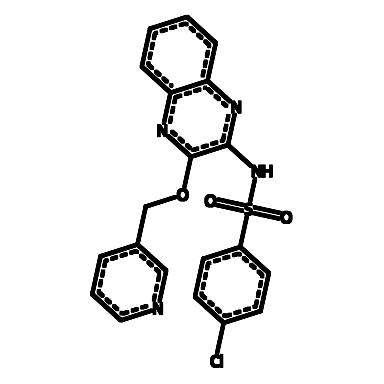 O=S(=O)(Nc1nc2ccccc2nc1OCc1cccnc1)c1ccc(Cl)cc1